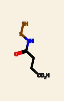 O=C(O)CCC(=O)NSS